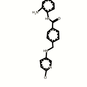 Nc1ccccc1NC(=O)c1ccc(CNc2ccc(Cl)nc2)cc1